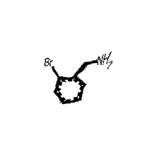 NCc1cc[c]cc1Br